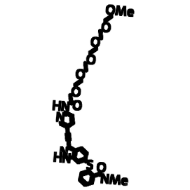 CNC(=O)c1ccccc1Sc1ccc2c(C#Cc3ccc(NC(=O)COCCOCCOCCOCCOCCOC)nc3)n[nH]c2c1